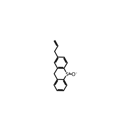 C=CCc1ccc2c(c1)Cc1ccccc1[S+]2[O-]